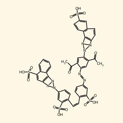 CC(=O)c1cc(-n2n3c4ccc5cc(S(=O)(=O)O)ccc5c4n23)c(C(C)=O)cc1N=Nc1ccc(/C=C\c2ccc(-n3n4c5cc(S(=O)(=O)O)c6ccccc6c5n34)cc2S(=O)(=O)O)c(S(=O)(=O)O)c1